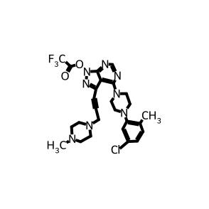 Cc1ccc(Cl)cc1N1CCN(c2ncnc3c2c(C#CCN2CCN(C)CC2)nn3OC(=O)C(F)(F)F)CC1